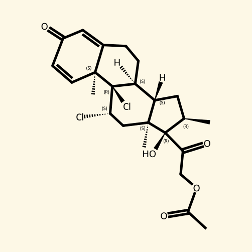 CC(=O)OCC(=O)[C@@]1(O)[C@H](C)C[C@H]2[C@@H]3CCC4=CC(=O)C=C[C@]4(C)[C@@]3(Cl)[C@@H](Cl)C[C@@]21C